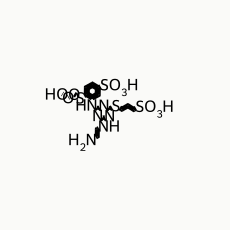 NCCNc1nc(Nc2cc(S(=O)(=O)O)ccc2SOOO)nc(SCCCS(=O)(=O)O)n1